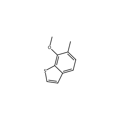 COc1c(C)ccc2ccsc12